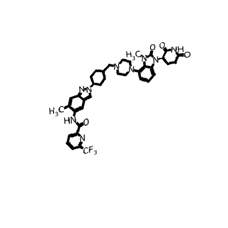 Cc1cc2nn(C3CCC(CN4CCN(c5cccc6c5n(C)c(=O)n6[C@@H]5CCC(=O)NC5=O)CC4)CC3)cc2cc1NC(=O)c1cccc(C(F)(F)F)n1